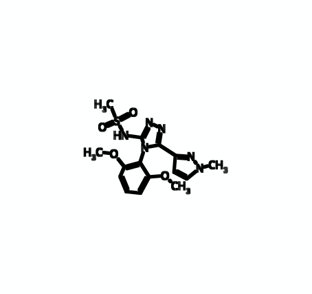 COc1cccc(OC)c1-n1c(NS(C)(=O)=O)nnc1-c1ccn(C)n1